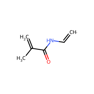 [CH]=CNC(=O)C(=C)C